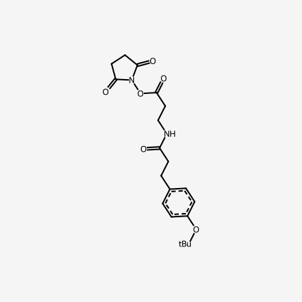 CC(C)(C)Oc1ccc(CCC(=O)NCCC(=O)ON2C(=O)CCC2=O)cc1